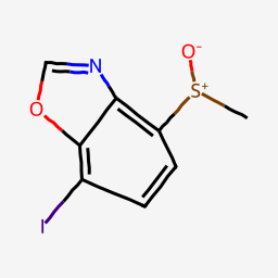 C[S+]([O-])c1ccc(I)c2ocnc12